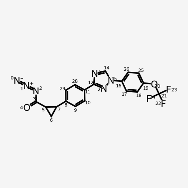 [N-]=[N+]=NC(=O)C1CC1c1ccc(-c2ncn(-c3ccc(OC(F)(F)F)cc3)n2)cc1